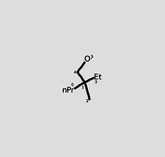 CCCC(C)(CC)C[O]